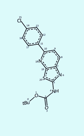 CC(C)(C)OC(=O)Nc1nc2ccc(-c3ccc(Cl)cc3)nc2s1